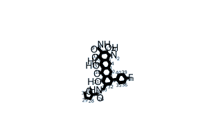 CN(C)C1C(O)=C(C(N)=O)C(=O)C2(O)C(O)=C3C(=O)c4c(O)c(CNC(=O)C5CCCO5)cc(-c5ccc(F)cc5)c4CC3CC12